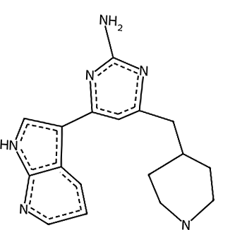 Nc1nc(CC2CCNCC2)cc(-c2c[nH]c3ncccc23)n1